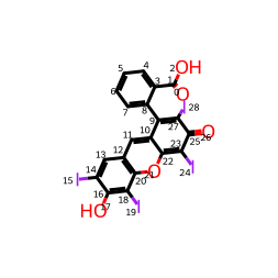 O=C(O)c1ccccc1-c1c2cc3cc(I)c(O)c(I)c3oc-2c(I)c(=O)c1I